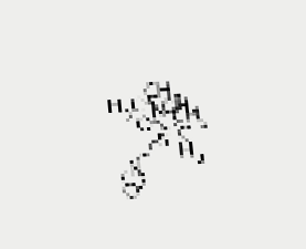 CC(C)[C@H](SCCCN1CCOCC1)C(=O)N(C)C(C)C